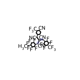 CC(F)(F)c1c(F)c(F)c(/C(C#N)=C2\C(=C(C#N)c3ccc(C#N)c(C(F)(F)F)c3)\C2=C(/C#N)c2c(F)c(F)c(C(F)(F)F)c(F)c2F)c(F)c1F